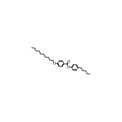 CCCCCCCCCCOc1ccc(C(=O)Oc2ccc(CCCCC)cc2)cc1